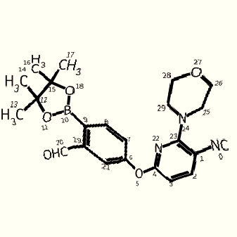 [C-]#[N+]c1ccc(Oc2ccc(B3OC(C)(C)C(C)(C)O3)c(C=O)c2)nc1N1CCOCC1